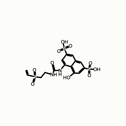 C=CS(=O)(=O)CCNC(=O)Nc1cc(S(=O)(=O)O)cc2cc(S(=O)(=O)O)cc(O)c12